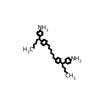 CCCCCC(c1ccc(N)cc1)c1ccc(CCCCCCc2ccc(C(CCCCC)c3ccc(N)cc3)cc2)cc1